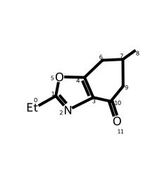 CCc1nc2c(o1)CC(C)CC2=O